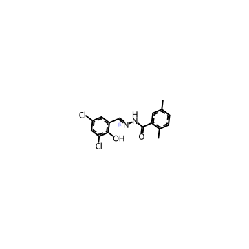 Cc1ccc(C)c(C(=O)N/N=C/c2cc(Cl)cc(Cl)c2O)c1